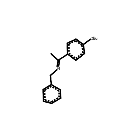 C/C(=N\Cc1ccccc1)c1ccc(C(C)(C)C)cc1